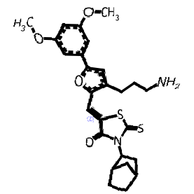 COc1cc(OC)cc(-c2cc(CCCN)c(/C=C3\SC(=S)N(C4CC5CCC4C5)C3=O)o2)c1